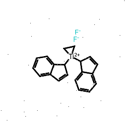 C1=C[CH]([Ti+2]2([CH]3C=Cc4ccccc43)[CH2][CH2]2)c2ccccc21.[F-].[F-]